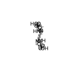 O=S(=O)(O)c1ccc2nc(CCCCc3nc4ccc(S(=O)(=O)O)cc4[nH]3)[nH]c2c1